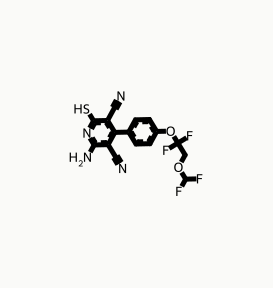 N#Cc1c(N)nc(S)c(C#N)c1-c1ccc(OC(F)(F)COC(F)F)cc1